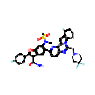 CN(c1cc2oc(-c3ccc(F)cc3)c(C(N)=O)c2cc1-c1ccc2nc(CN3CCC(F)(F)CC3)n3c4cccc(F)c4cc3c2n1)S(C)(=O)=O